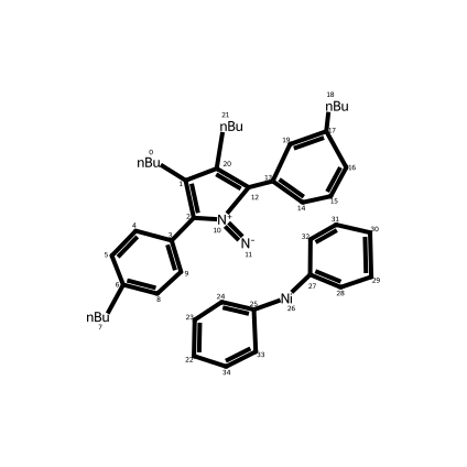 CCCCC1=C(c2ccc(CCCC)cc2)[N+](=[N-])C(c2cccc(CCCC)c2)=C1CCCC.c1cc[c]([Ni][c]2ccccc2)cc1